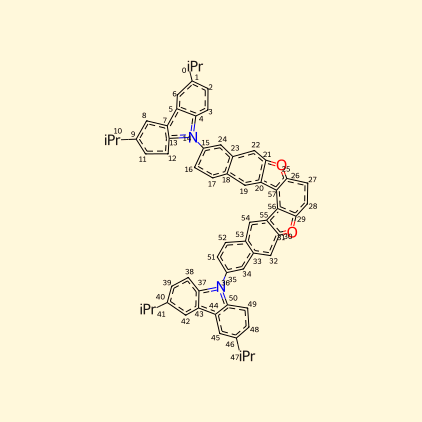 CC(C)c1ccc2c(c1)c1cc(C(C)C)ccc1n2-c1ccc2cc3c(cc2c1)oc1ccc2oc4cc5cc(-n6c7ccc(C(C)C)cc7c7cc(C(C)C)ccc76)ccc5cc4c2c13